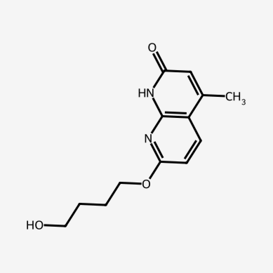 Cc1cc(=O)[nH]c2nc(OCCCCO)ccc12